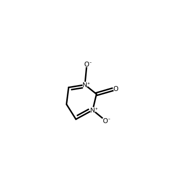 O=C1[N+]([O-])=CCC=[N+]1[O-]